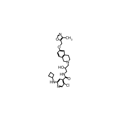 Cc1ncoc1COc1ccc2c(c1)CCN(CC(O)CNC(=O)c1cc(NC3CCC3)ncc1Cl)C2